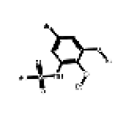 CCCS(=O)(=O)Nc1cc(Br)cc(OCC)c1OCC